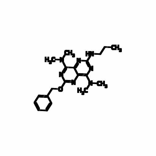 CCCNc1nc(N(C)C)c2nc(OCc3ccccc3)nc(N(C)C)c2n1